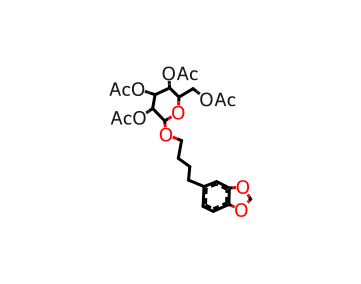 CC(=O)OCC1OC(OCCCCc2ccc3c(c2)OCO3)C(OC(C)=O)C(OC(C)=O)C1OC(C)=O